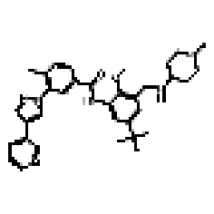 COc1c(CNC2CCN(C)CC2)cc(C(C)(C)C)cc1NC(=O)c1ccc(C)c(-n2cc(-c3cccnc3)nn2)c1